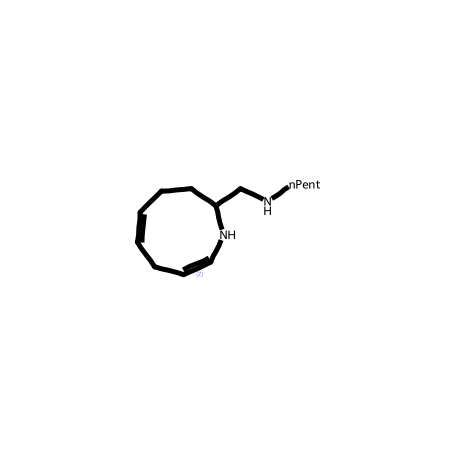 CCCCCNCC1CCC=CC/C=C\N1